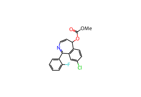 COC(=O)OC1C=CN=C(c2ccccc2F)c2cc(Cl)ccc21